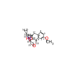 COc1ccc2c(c1)[C@]13CCN(CC4CC4)[C@H](C2)[C@]1(O)CCOC3